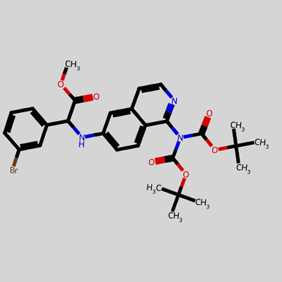 COC(=O)C(Nc1ccc2c(N(C(=O)OC(C)(C)C)C(=O)OC(C)(C)C)nccc2c1)c1cccc(Br)c1